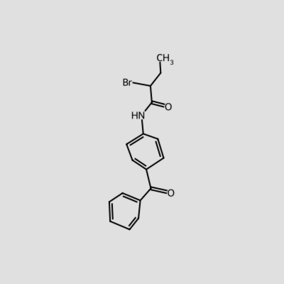 CCC(Br)C(=O)Nc1ccc(C(=O)c2ccccc2)cc1